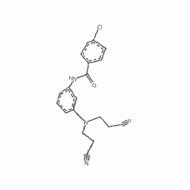 N#CCCN(CCC#N)c1cccc(NC(=O)c2ccc(Cl)cc2)c1